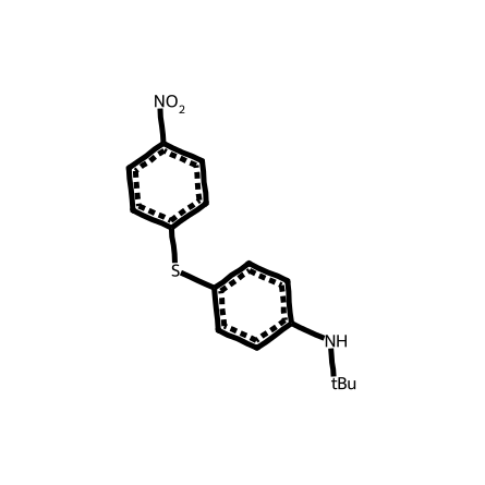 CC(C)(C)Nc1ccc(Sc2ccc([N+](=O)[O-])cc2)cc1